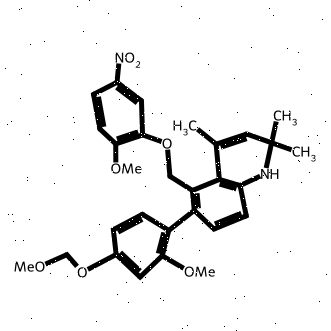 COCOc1ccc(-c2ccc3c(c2COc2cc([N+](=O)[O-])ccc2OC)C(C)=CC(C)(C)N3)c(OC)c1